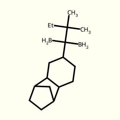 BC(B)(C1CCC2C3CCC(C3)C2C1)C(C)(C)CC